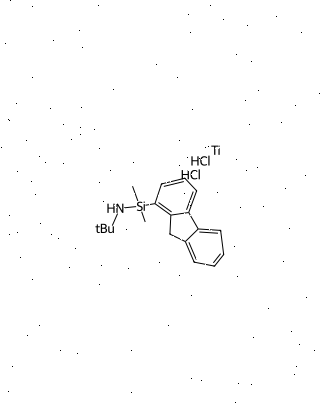 CC(C)(C)N[Si](C)(C)c1cccc2c1Cc1ccccc1-2.Cl.Cl.[Ti]